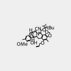 C=CCOc1c(C)c2c(c3c1CC1[C@@H]4c5c(cc(C)c(OC)c5O)C[C@H]([C@H](C#N)N1[C@H]3CO[Si](C)(C)C(C)(C)C)N4C)OCO2